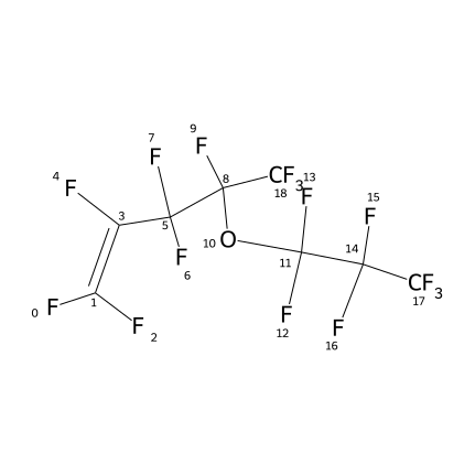 FC(F)=C(F)C(F)(F)C(F)(OC(F)(F)C(F)(F)C(F)(F)F)C(F)(F)F